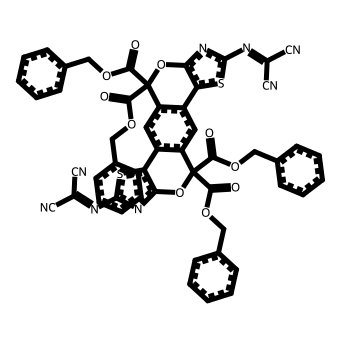 N#CC(C#N)=Nc1nc2c(s1)-c1cc3c(cc1C(C(=O)OCc1ccccc1)(C(=O)OCc1ccccc1)O2)-c1sc(N=C(C#N)C#N)nc1OC3(C(=O)OCc1ccccc1)C(=O)OCc1ccccc1